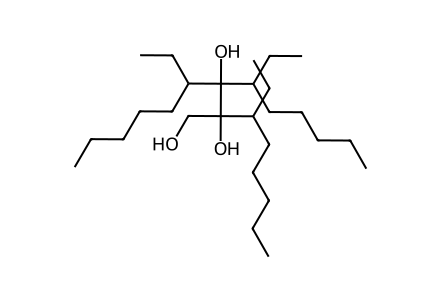 CCCCCC(CC)C(O)(CO)C(O)(C(CC)CCCCC)C(CC)CCCCC